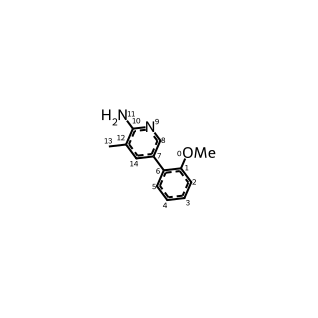 COc1ccccc1-c1cnc(N)c(C)c1